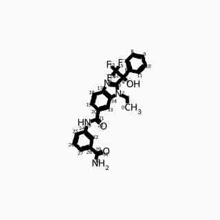 CCn1c(C(O)(c2ccccc2)C(F)(F)F)nc2ccc(C(=O)Nc3cccc(C(N)=O)c3)cc21